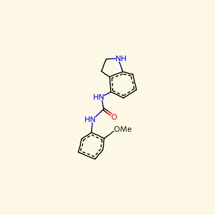 COc1ccccc1NC(=O)Nc1cccc2c1CCN2